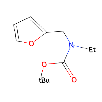 CCN(Cc1ccco1)C(=O)OC(C)(C)C